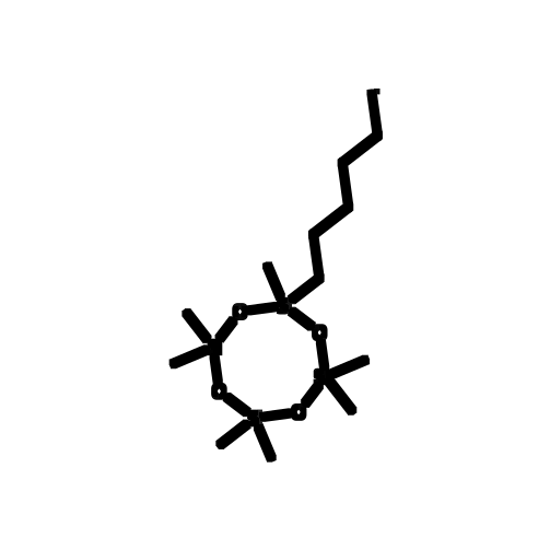 [CH2]CCCCC[Si]1(C)O[Si](C)(C)O[Si](C)(C)O[Si](C)(C)O1